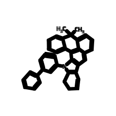 CC1(C)c2ccccc2-c2c3c1cccc3cc1c3c(n(-c4c#ccc(-c5ccccc5)c4)c21)CCC=C3